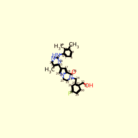 Cc1cnc(Nc2cccc(C)c2C)nc1-c1cc2n(c1)CCN(Cc1cc(F)ccc1CO)C2=O